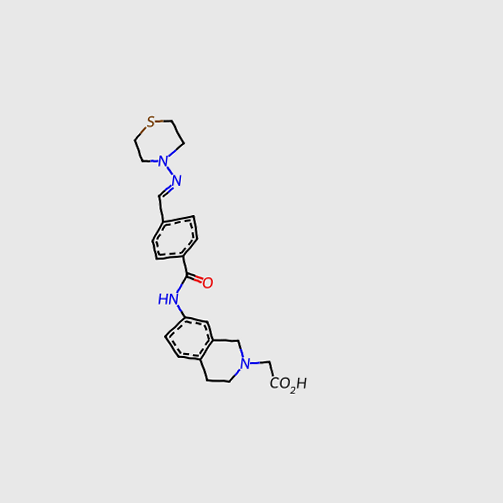 O=C(O)CN1CCc2ccc(NC(=O)c3ccc(C=NN4CCSCC4)cc3)cc2C1